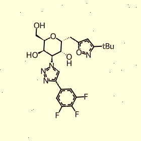 CC(C)(C)c1cc(C[C@H]2O[C@H](CO)[C@H](O)[C@H](n3cc(-c4cc(F)c(F)c(F)c4)nn3)[C@H]2O)on1